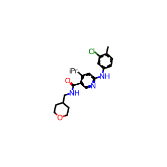 Cc1ccc(Nc2cc(C(C)C)c(C(=O)NCC3CCOCC3)cn2)cc1Cl